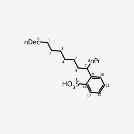 CCCCCCCCCCCCCCCCC(CCC)c1ccccc1S(=O)(=O)O